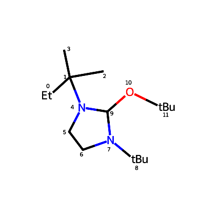 CCC(C)(C)N1CCN(C(C)(C)C)C1OC(C)(C)C